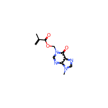 C=C(C)C(=O)OCn1cnc2c(ncn2C)c1=O